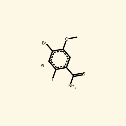 COc1cc(C(N)=S)c(I)cc1Br.[P]